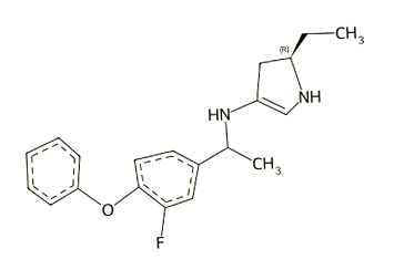 CC[C@@H]1CC(NC(C)c2ccc(Oc3ccccc3)c(F)c2)=CN1